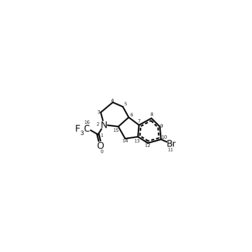 O=C(N1CCCC2c3ccc(Br)cc3CC21)C(F)(F)F